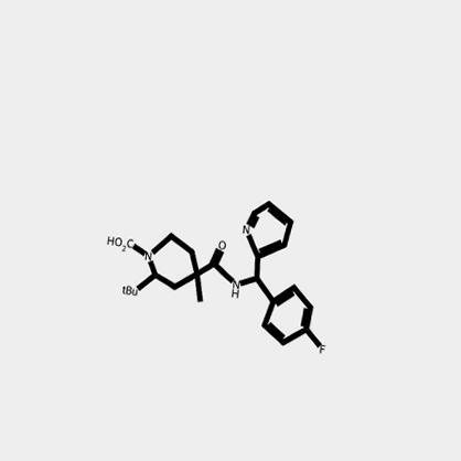 CC1(C(=O)NC(c2ccc(F)cc2)c2ccccn2)CCN(C(=O)O)C(C(C)(C)C)C1